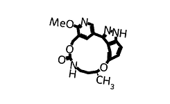 COc1ncc2cc1COC(=O)NCC[C@@H](C)Oc1ccc3[nH]nc-2c3c1